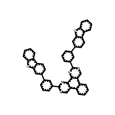 c1cc(-c2ccc3c(c2)oc2ccccc23)cc(-c2ncc3c4ccccc4c4cnc(-c5cccc(-c6ccc7c(c6)oc6ccccc67)c5)nc4c3n2)c1